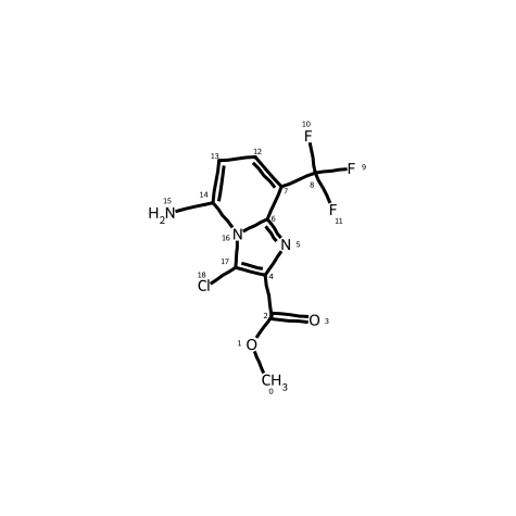 COC(=O)c1nc2c(C(F)(F)F)ccc(N)n2c1Cl